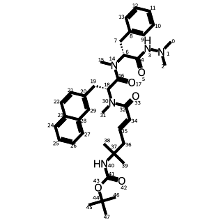 CN(C)NC(=O)[C@@H](Cc1ccccc1)N(C)C(=O)[C@@H](Cc1ccc2ccccc2c1)N(C)C(=O)/C=C/CC(C)(C)NC(=O)OC(C)(C)C